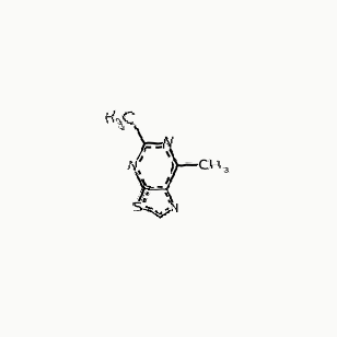 Cc1nc(C)c2ncsc2n1